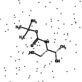 C[C@H](O)[C@H](CO)NC(=O)OC(C)(C)C